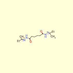 CC/C(C)=N/NC(=O)CCCCC(=O)N/N=C(\C)CC